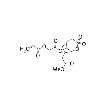 C=CC(=O)OCC(=O)OC1C2CC(CC(=O)OC)C1OS(=O)(=O)C2